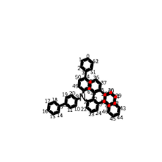 c1ccc(-c2ccc(N(c3ccc(-c4ccccc4)cc3)c3cccc(-c4ccccc4)c3-c3ccccc3-c3ccc4ccccc4c3)cc2)cc1